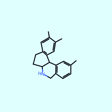 Cc1ccc2c(c1)C1c3cc(C)c(C)cc3CCC1NC2